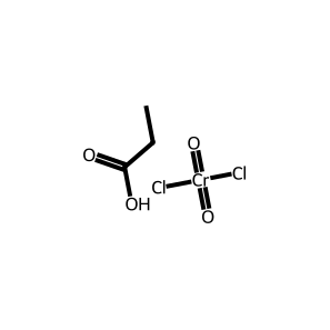 CCC(=O)O.[O]=[Cr](=[O])([Cl])[Cl]